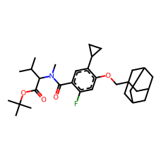 CC(C)C(C(=O)OC(C)(C)C)N(C)C(=O)c1cc(C2CC2)c(OCC23CC4CC(CC(C4)C2)C3)cc1F